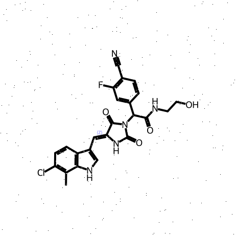 Cc1c(Cl)ccc2c(/C=C3\NC(=O)N(C(C(=O)NCCO)c4ccc(C#N)c(F)c4)C3=O)c[nH]c12